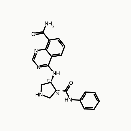 NC(=O)c1cccc2c(N[C@@H]3CNC[C@H]3C(=O)Nc3ccccc3)ncnc12